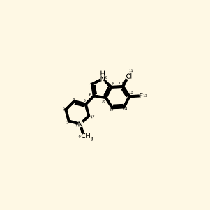 CN1CCC=C(c2c[nH]c3c(Cl)c(F)ccc23)C1